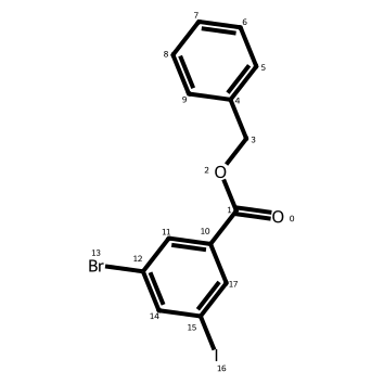 O=C(OCc1ccccc1)c1cc(Br)cc(I)c1